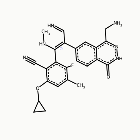 CN/C(=C(\C=N)c1ccc2c(=O)[nH]nc(CN)c2c1)c1c(F)c(C)cc(OC2CC2)c1C#N